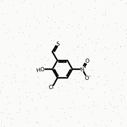 O=[N+]([O-])c1cc(Cl)c(O)c(C=S)c1